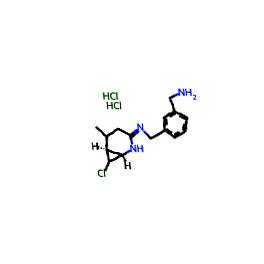 CC1CC(=NCc2cccc(CN)c2)N[C@@H]2C(Cl)[C@@H]12.Cl.Cl